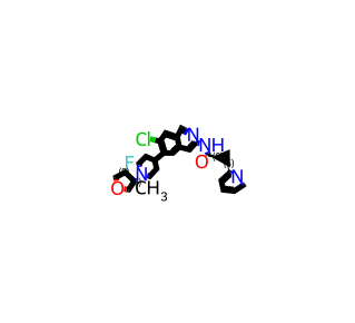 C[C@]1(N2CCC(c3cc4cc(NC(=O)[C@H]5C[C@@H]5c5ccccn5)ncc4cc3Cl)CC2)COC[C@H]1F